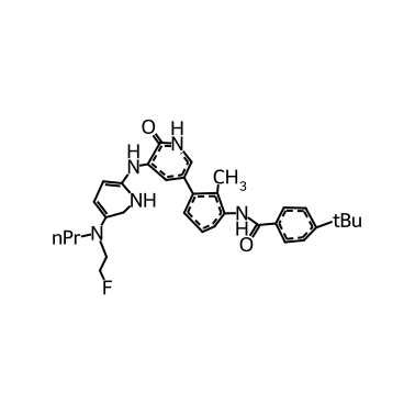 CCCN(CCF)C1=CC=C(Nc2cc(-c3cccc(NC(=O)c4ccc(C(C)(C)C)cc4)c3C)c[nH]c2=O)NC1